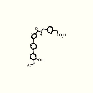 CC(=O)Cc1ccc(-c2ccc(-c3csc(C(=O)NCc4ccc(CC(=O)O)cc4)c3)cc2)cc1O